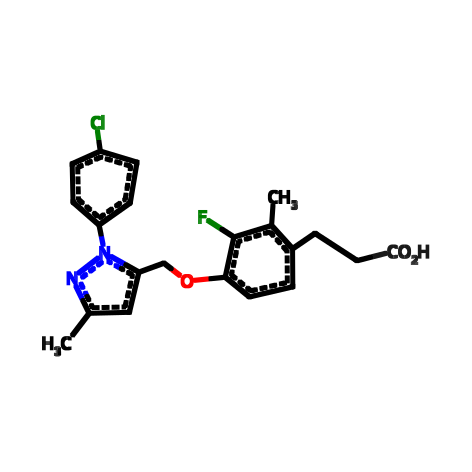 Cc1cc(COc2ccc(CCC(=O)O)c(C)c2F)n(-c2ccc(Cl)cc2)n1